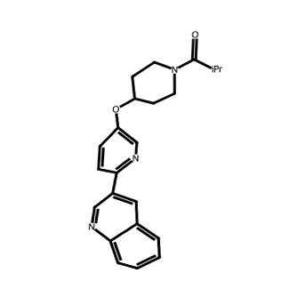 CC(C)C(=O)N1CCC(Oc2ccc(-c3cnc4ccccc4c3)nc2)CC1